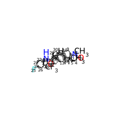 CN1C(=O)C=C[C@@]2(C)C1CC[C@@H]1[C@H]2CC[C@]2(C)C(C(=O)Nc3ccc(F)cc3C(F)(F)F)CC[C@@H]12